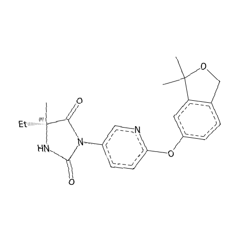 CC[C@@]1(C)NC(=O)N(c2ccc(Oc3ccc4c(c3)C(C)(C)OC4)nc2)C1=O